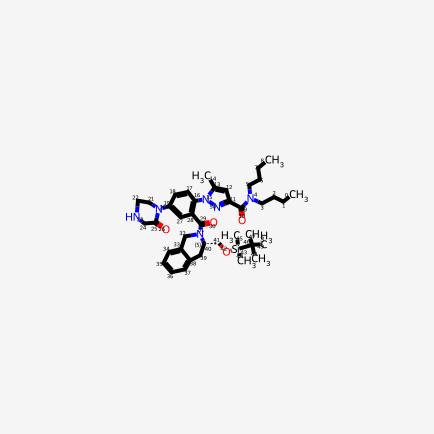 CCCCN(CCCC)C(=O)c1cc(C)n(-c2ccc(N3CCNCC3=O)cc2C(=O)N2Cc3ccccc3C[C@H]2CO[Si](C)(C)C(C)(C)C)n1